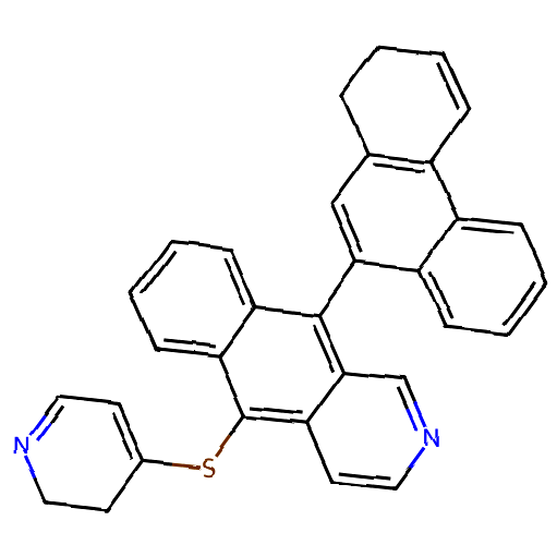 C1=Cc2c(cc(-c3c4ccccc4c(SC4=CC=NCC4)c4ccncc34)c3ccccc23)CC1